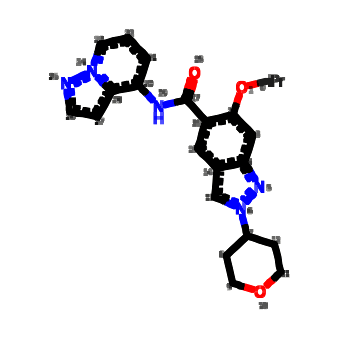 CC(C)Oc1cc2nn(C3CCOCC3)cc2cc1C(=O)Nc1cccn2nccc12